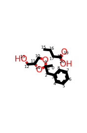 CC1(Cc2ccccc2)OCC(CO)O1.CCCC(=O)O